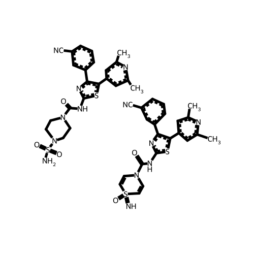 Cc1cc(-c2sc(NC(=O)N3C=CS(=N)(=O)C=C3)nc2-c2cccc(C#N)c2)cc(C)n1.Cc1cc(-c2sc(NC(=O)N3CCN(S(N)(=O)=O)CC3)nc2-c2cccc(C#N)c2)cc(C)n1